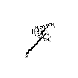 COC[C@H](OC)[C@H](OC)[C@H](OC)[C@@H](CN(C)C(=O)CCCCCCCCCCS)OC